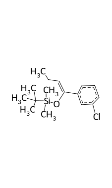 CCC=C(O[Si](C)(C)C(C)(C)C)c1cccc(Cl)c1